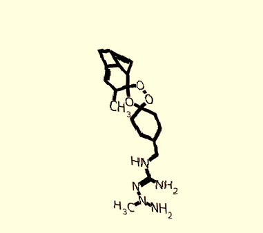 CC1C=C2CC3=CC(C23)C12OOC1(CCC(CN/C(N)=N/N(C)N)CC1)O2